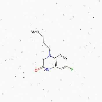 COCCCN1CC(=O)Nc2cc(F)ccc21